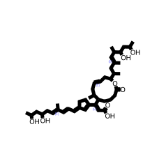 C/C(C=CC=C1C=C(/C(=C/C(=O)O)C2CCCC(=O)OC(C(C)C/C(C)=C/C(C)C(O)CC(C)O)C/C=C/CC2C)CC1)=C\CC(O)CC(C)O